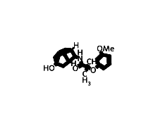 COc1cccc(OC(C)(C)C(=O)NC2[C@@H]3CC4C[C@H]2CC(O)(C4)C3)c1